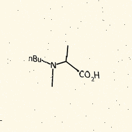 CCCCN(C)C(C)C(=O)O